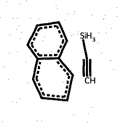 C#C[SiH3].c1ccc2ccccc2c1